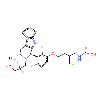 C[C@@H]1Cc2c([nH]c3ccccc23)[C@@H](c2c(F)ccc(OCCC(CF)CNC(=O)O)c2F)N1CC(F)(F)CO